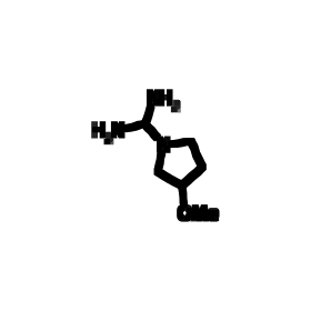 COC1CCN(C(N)N)C1